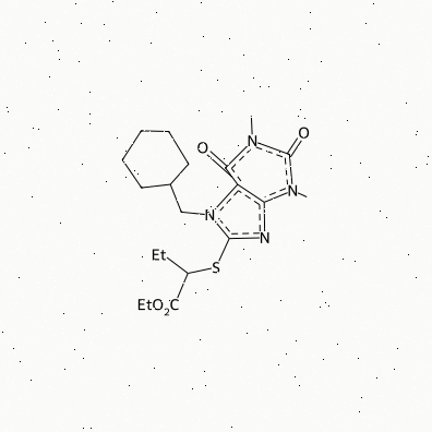 CCOC(=O)C(CC)Sc1nc2c(c(=O)n(C)c(=O)n2C)n1CC1CCCCC1